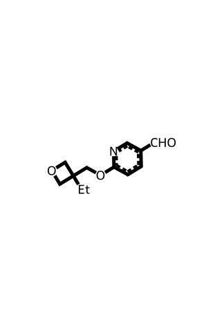 CCC1(COc2ccc(C=O)cn2)COC1